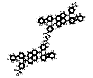 CS(C)(C)c1ccc(N(c2ccc3ccc4c(N(c5ccc(S(C)(C)CCS(C)(C)c6ccc(N(c7ccc8ccc9c(N(c%10ccc(S(C)(C)C)cc%10)c%10cccc%11c%10oc%10ccccc%10%11)ccc%10ccc7c8c%109)c7cccc8c7oc7ccccc78)cc6)cc5)c5cccc6c5oc5ccccc56)ccc5ccc2c3c54)c2cccc3c2oc2ccccc23)cc1